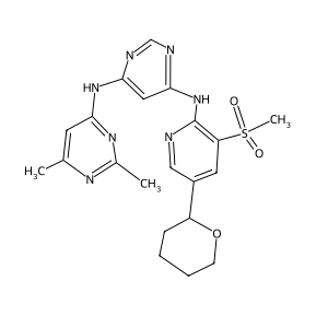 Cc1cc(Nc2cc(Nc3ncc(C4CCCCO4)cc3S(C)(=O)=O)ncn2)nc(C)n1